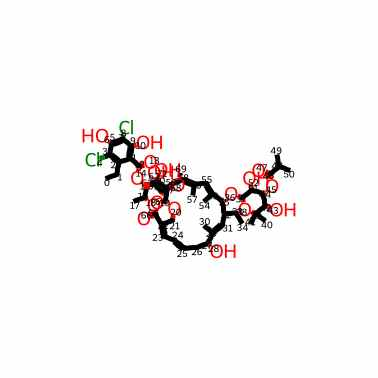 CCc1c(Cl)c(O)c(Cl)c(O)c1C(=O)OC1C(C)OC(OC/C2=C\C=C\CC(O)/C(C)=C/C(CC)C(OC3OC(C)(C)C(O)C(OC(=O)C(C)C)C3O)/C(C)=C/C(C)=C/CC(C(C)O)OC2=O)C(OC)C1O